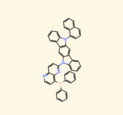 c1ccc(B(c2ccccc2)c2ccnc3ccc(-n4c5ccccc5c5cc6c(cc54)c4ccccc4n6-c4cccc5ccccc45)nc23)cc1